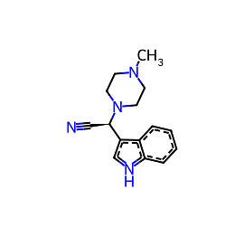 CN1CCN([C@H](C#N)c2c[nH]c3ccccc23)CC1